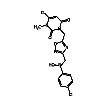 Cn1c(Cl)cc(=O)n(Cc2nc(C[C@H](O)c3ccc(Cl)cc3)no2)c1=O